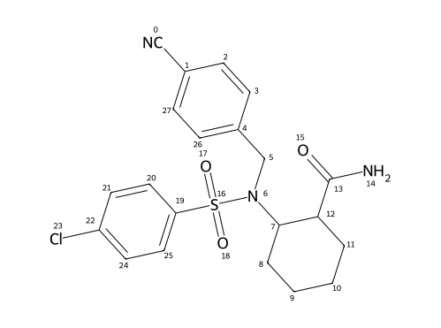 N#Cc1ccc(CN(C2CCCCC2C(N)=O)S(=O)(=O)c2ccc(Cl)cc2)cc1